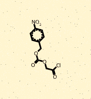 O=C(Cl)COC(=O)OCc1ccc([N+](=O)[O-])cc1